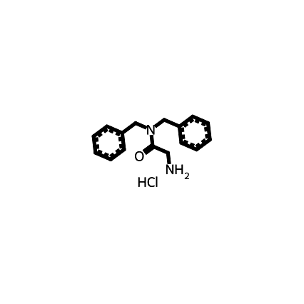 Cl.NCC(=O)N(Cc1ccccc1)Cc1ccccc1